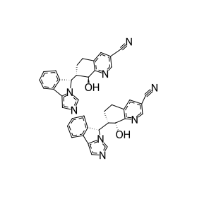 N#Cc1cnc2c(c1)CC[C@@H]([C@H]1c3ccccc3-c3cncn31)[C@@H]2O.N#Cc1cnc2c(c1)CC[C@@H]([C@H]1c3ccccc3-c3cncn31)[C@H]2O